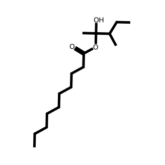 CCCCCCCCCC(=O)OC(C)(O)C(C)CC